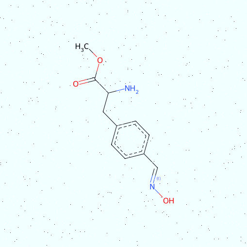 COC(=O)C(N)Cc1ccc(/C=N/O)cc1